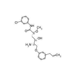 C=CCc1cccc(OC[C@H](N)[C@@H](O)C[C@@H](OC)C(=O)Nc2cccc(Cl)c2)c1